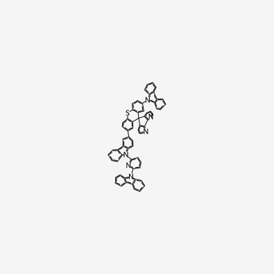 c1cc(-n2c3ccccc3c3ccccc32)nc(-n2c3ccccc3c3cc(-c4ccc5c(c4)C4(c6cc(-n7c8ccccc8c8ccccc87)ccc6S5)c5cccnc5-c5ncccc54)ccc32)c1